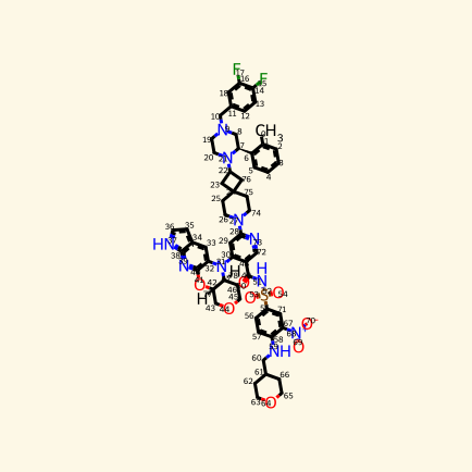 Cc1ccccc1[C@@H]1CN(Cc2ccc(F)c(F)c2)CCN1C1CC2(CCN(c3cc(N4c5cc6cc[nH]c6nc5O[C@H]5COCC[C@@H]54)c(C(=O)NS(=O)(=O)c4ccc(NCC5CCOCC5)c([N+](=O)[O-])c4)cn3)CC2)C1